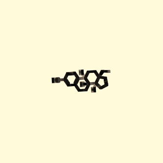 CC[C@@]12C=CC[C@H]1[C@@H]1CCc3cc(O)ccc3[C@H]1CC2